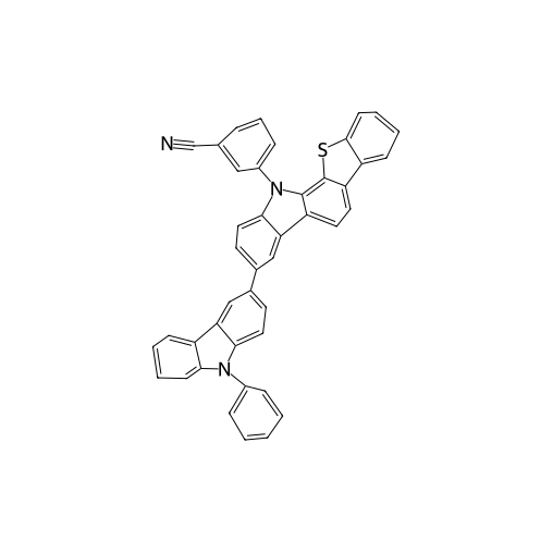 N#Cc1cccc(-n2c3ccc(-c4ccc5c(c4)c4ccccc4n5-c4ccccc4)cc3c3ccc4c5ccccc5sc4c32)c1